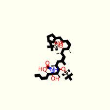 C=C/C=C\[C@H](C)[C@@](O)(NC(=O)O)[C@H](C)[C@H](O[Si](C)(C)C(C)(C)C)[C@@H](C)C/C(C)=C\[C@H](C)[C@@H](O[Si](C)(C)C(C)(C)C)[C@@H](C)/C=C\[C@@H](O)CC1CCCC1